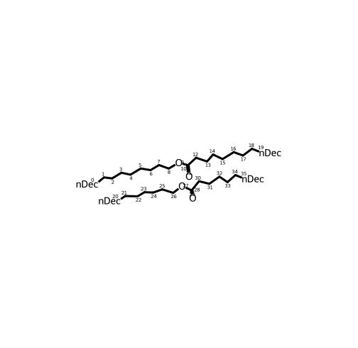 CCCCCCCCCCCCCCCCCCOC(=O)CCCCCCCCCCCCCCCCC.CCCCCCCCCCCCCCCCOC(=O)CCCCCCCCCCCCCCC